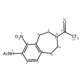 CC(=O)Nc1ccc2c(c1[N+](=O)[O-])CCN(C(=O)C(F)(F)F)CC2